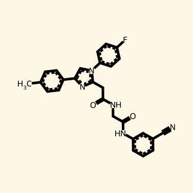 Cc1ccc(-c2cn(-c3ccc(F)cc3)c(CC(=O)NCC(=O)Nc3cccc(C#N)c3)n2)cc1